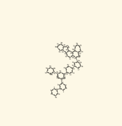 c1ccc(-c2cccc(-c3nc(-c4ccc(-c5cccc(-c6nc7ccccc7c7c6ccc6c8ccccc8oc67)c5)cc4)cc(-c4ccccn4)n3)c2)cc1